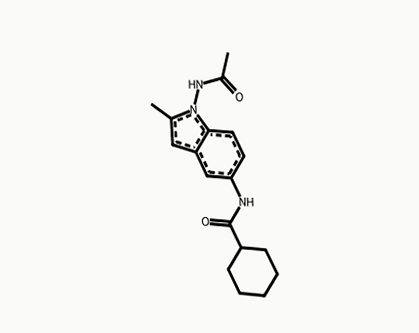 CC(=O)Nn1c(C)cc2cc(NC(=O)C3CCCCC3)ccc21